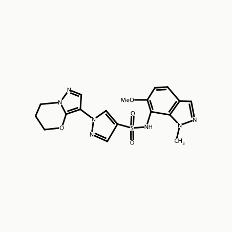 COc1ccc2cnn(C)c2c1NS(=O)(=O)c1cnn(-c2cnn3c2OCCC3)c1